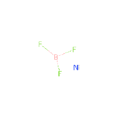 FB(F)F.[N]